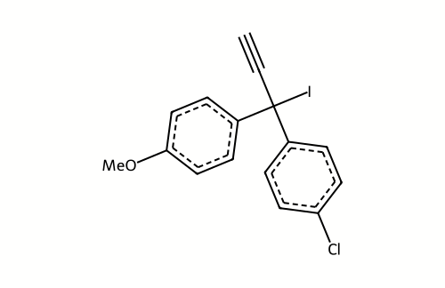 C#CC(I)(c1ccc(Cl)cc1)c1ccc(OC)cc1